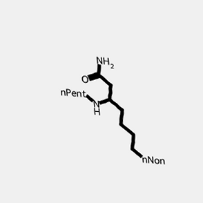 CCCCCCCCCCCCCC(CC(N)=O)NCCCCC